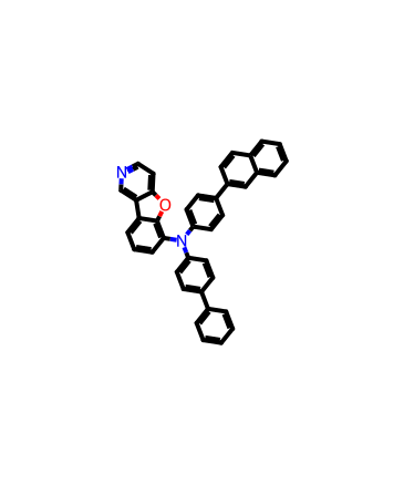 c1ccc(-c2ccc(N(c3ccc(-c4ccc5ccccc5c4)cc3)c3cccc4c3oc3ccncc34)cc2)cc1